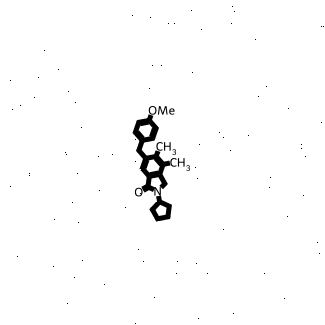 COc1ccc(Cc2cc3c(c(C)c2C)CN(C2CCCC2)C3=O)cc1